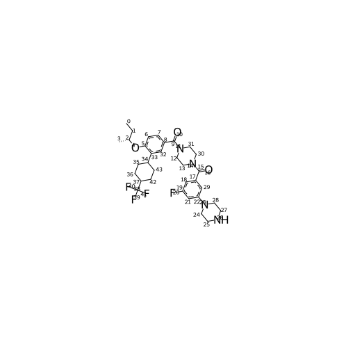 CC[C@@H](C)Oc1ccc(C(=O)N2CCN(C(=O)c3cc(F)cc(N4CCNCC4)c3)CC2)cc1C1CCC(C(F)(F)F)CC1